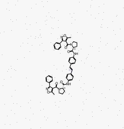 Cc1onc(-c2ccccc2)c1C(=O)N1CCC[C@H]1C(=O)Nc1ccc(/C=C/c2ccc(NC(=O)[C@@H]3CCCN3C(=O)c3c(-c4ccccc4)noc3C)cc2)cc1